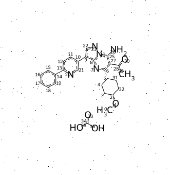 CO[C@H]1CC[C@H](c2nc3c(-c4ccc(-c5ccccc5)nc4)cnn3c(N)c2C(C)=O)CC1.O=C(O)O